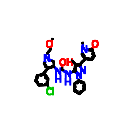 COCCN1CC(c2cccc(Cl)c2)[C@H](NC(O)Nc2c(C)c(-c3ccc(=O)n(C)c3)nn2-c2ccccc2)C1